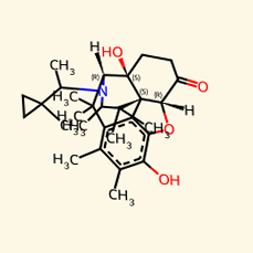 Cc1c(C)c2c3c(c1O)O[C@H]1C(=O)CC[C@@]4(O)[C@H](N(C(C)C5(C)CC5)C(C)C(C)(C)[C@]314)C2(C)C